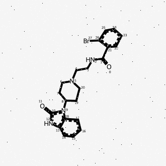 O=C(NCCN1CCC(n2c(=O)[nH]c3ccccc32)CC1)c1ccccc1Br